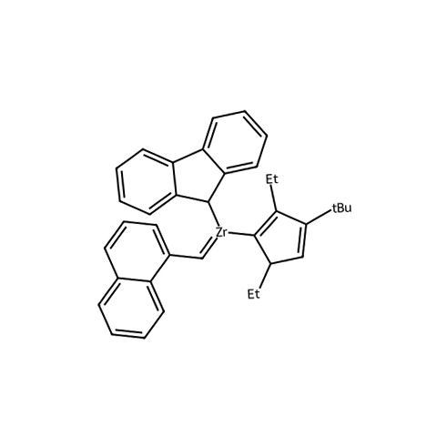 CCC1=[C]([Zr](=[CH]c2cccc3ccccc23)[CH]2c3ccccc3-c3ccccc32)C(CC)C=C1C(C)(C)C